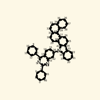 c1ccc(-c2nc(-c3ccccc3)c3ccc(-n4c5ccccc5c5ccc6c(ccc7ccc8ccccc8c76)c54)cc3n2)cc1